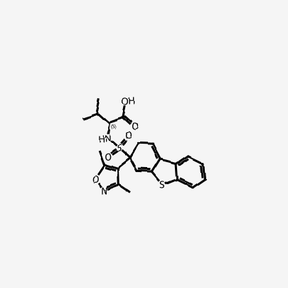 Cc1noc(C)c1C1(S(=O)(=O)N[C@H](C(=O)O)C(C)C)C=c2sc3ccccc3c2=CC1